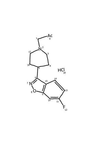 CC(=O)CN1CCC(c2noc3cc(F)ccc23)CC1.Cl